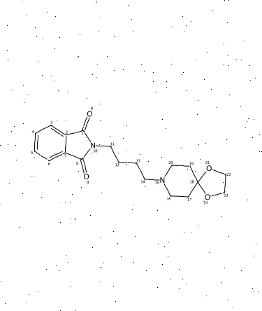 O=C1c2ccccc2C(=O)N1CCCCN1CCC2(CC1)OCCO2